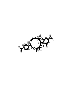 CO[C@]1(C)CCCNC(C2CCN(C(C)C)CC2)COC(=O)C(C)(C)C(=O)C(C)[C@H]1O[C@H]1C[C@@H](N(C)C)C[C@@H](C)O1